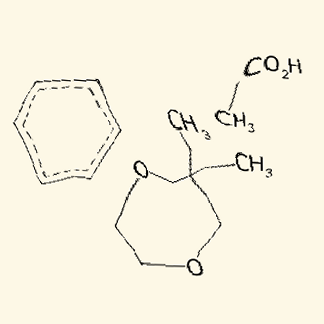 CC(=O)O.CC1(C)COCCO1.c1ccccc1